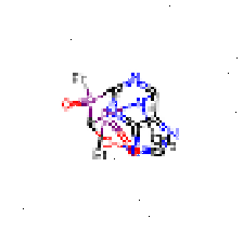 CCP1(=O)c2nc3c4ncn(c4n2)OC1P(=O)(CC)N3C